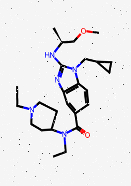 CCN1CCC(N(CC)C(=O)c2ccc3c(c2)nc(N[C@@H](C)COC)n3CC2CC2)CC1